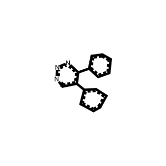 [c]1nnnc(-c2ccccc2)c1-c1ccccc1